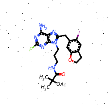 CC(=O)OC(C)(C)C(=O)NCCCn1c(Cc2cc3c(cc2I)CCO3)nc2c(N)nc(F)nc21